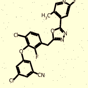 Cc1cnc(F)cc1-c1nnc(Cc2ccc(Cl)c(Oc3cc(Cl)cc(C#N)c3)c2F)o1